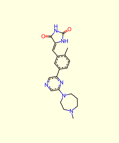 Cc1ccc(-c2cncc(N3CCCN(C)CC3)n2)cc1/C=C1\NC(=O)NC1=O